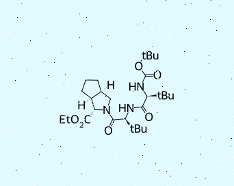 CCOC(=O)[C@@H]1[C@H]2CCC[C@H]2CN1C(=O)[C@@H](NC(=O)[C@@H](NC(=O)OC(C)(C)C)C(C)(C)C)C(C)(C)C